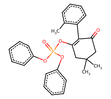 Cc1ccccc1C1=C(OP(=O)(Oc2ccccc2)Oc2ccccc2)CC(C)(C)CC1=O